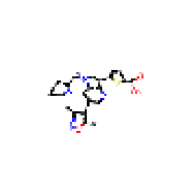 Cc1noc(C)c1-c1cnc2c(-c3ccc(C(=O)O)s3)cn([C@@H](C)c3ccccn3)c2c1